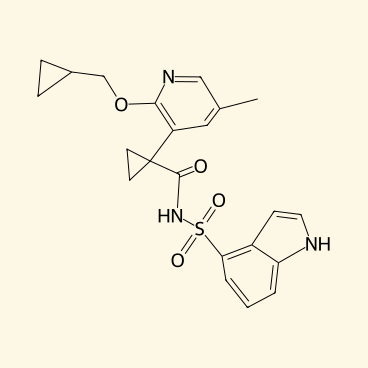 Cc1cnc(OCC2CC2)c(C2(C(=O)NS(=O)(=O)c3cccc4[nH]ccc34)CC2)c1